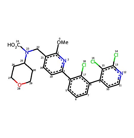 COc1nc(-c2cccc(-c3ccnc(Cl)c3Cl)c2Cl)ccc1CN(C(=O)O)C1CCOCC1